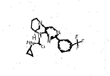 O=C(NC1CC1)N1c2nc(-c3cccc(C(F)(F)F)c3)ncc2N2CCC[C@H]1C2